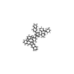 c1ccc(-n2c3ccccc3c3c(-c4nc(-c5ccc6ccccc6c5)nc(-c5ccc(-n6c7cc8ccccc8cc7c7cc8ccccc8cc76)c6c5oc5ccccc56)n4)cccc32)cc1